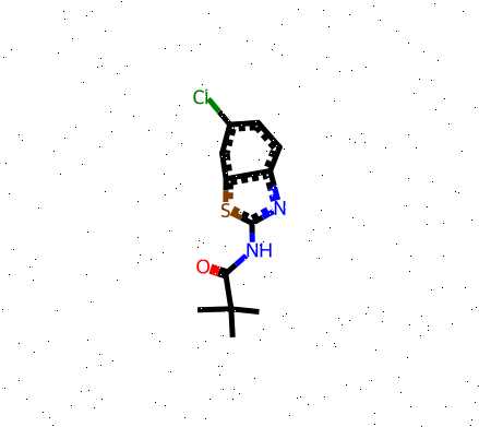 CC(C)(C)C(=O)Nc1nc2ccc(Cl)cc2s1